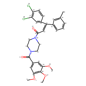 COc1cc(C(=O)N2CCN(C(=O)C=C(c3cccc(C)c3)c3ccc(Cl)c(Cl)c3)CC2)cc(OC)c1OC